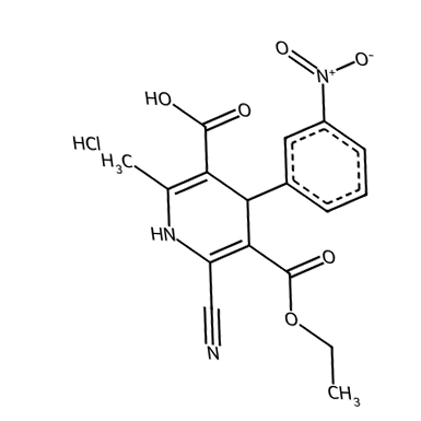 CCOC(=O)C1=C(C#N)NC(C)=C(C(=O)O)C1c1cccc([N+](=O)[O-])c1.Cl